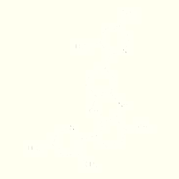 Cc1cnc(-c2ccc(C)c(Nc3cc(-c4ncc(C)cc4C)ccc3C)c2)c(C)c1